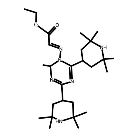 CCOC(=O)C=NN1C(C2CC(C)(C)NC(C)(C)C2)=NC(C2CC(C)(C)NC(C)(C)C2)=NC1C